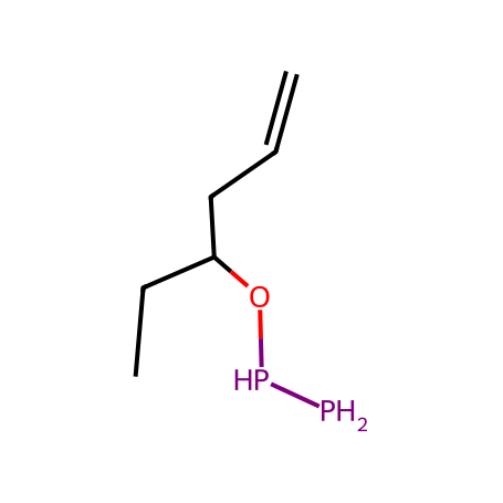 C=CCC(CC)OPP